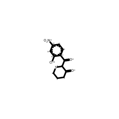 O=C1CCCSC1C(=O)c1ccc([N+](=O)[O-])cc1Cl